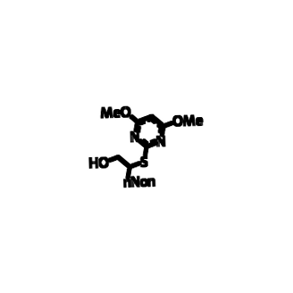 CCCCCCCCCC(CO)Sc1nc(OC)cc(OC)n1